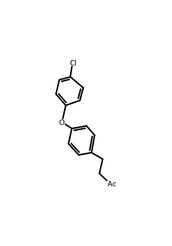 CC(=O)CCc1ccc(Oc2ccc(Cl)cc2)cc1